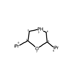 CC(C)C1CPCC(C(C)C)O1